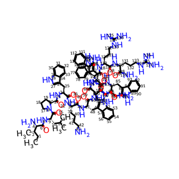 CC[C@H](C)[C@H](N)C(=O)N[C@@H](CC(C)C)C(=O)N1CCC[C@H]1C(=O)N[C@@H](Cc1c[nH]c2ccccc12)C(=O)N[C@@H](CCCCN)C(=O)N[C@@H](Cc1c[nH]c2ccccc12)C(=O)N[C@@H](CCCCN)C(=O)N[C@@H](Cc1c[nH]c2ccccc12)C(=O)N[C@@H](Cc1c[nH]c2ccccc12)C(=O)N1CCC[C@H]1C(=O)N[C@@H](Cc1c[nH]c2ccccc12)C(=O)N[C@@H](CCCNC(=N)N)C(=O)N[C@@H](CCCNC(=N)N)C(N)=O